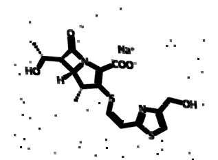 C[C@@H](O)[C@H]1C(=O)N2C(C(=O)[O-])=C(S/C=C\c3nc(CO)cs3)[C@H](C)[C@H]12.[Na+]